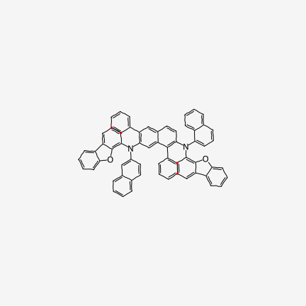 c1ccc(-c2cc3ccc(N(c4cccc5ccccc45)c4cccc5c4oc4ccccc45)c(-c4ccccc4)c3cc2N(c2ccc3ccccc3c2)c2cccc3c2oc2ccccc23)cc1